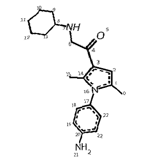 Cc1cc(C(=O)CNC2CCCCC2)c(C)n1-c1ccc(N)cc1